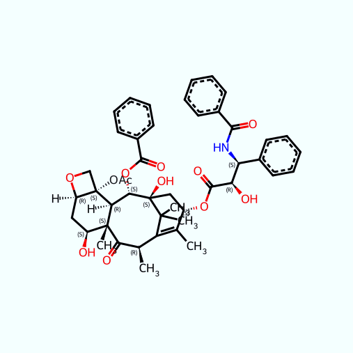 CC(=O)O[C@@]12CO[C@@H]1C[C@H](O)[C@@]1(C)C(=O)[C@H](C)C3=C(C)[C@@H](OC(=O)[C@H](O)[C@@H](NC(=O)c4ccccc4)c4ccccc4)C[C@@](O)([C@@H](OC(=O)c4ccccc4)[C@H]21)C3(C)C